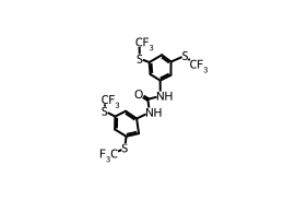 O=C(Nc1cc(SC(F)(F)F)cc(SC(F)(F)F)c1)Nc1cc(SC(F)(F)F)cc(SC(F)(F)F)c1